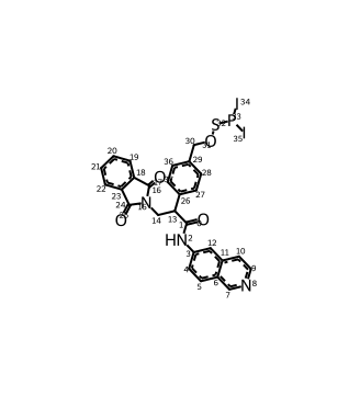 O=C(Nc1ccc2cnccc2c1)C(CN1C(=O)c2ccccc2C1=O)c1ccc(COSP(I)I)cc1